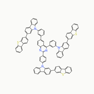 c1cc(-c2ccc3nc(-c4ccc(-n5c6ccccc6c6ccc(-c7ccc8c(c7)sc7ccccc78)cc65)cc4)nc(-c4cccc(-n5c6ccccc6c6ccc(-c7ccc8c(c7)sc7ccccc78)cc65)c4)c3c2)cc(-n2c3ccccc3c3ccc(-c4ccc5c(c4)sc4ccccc45)cc32)c1